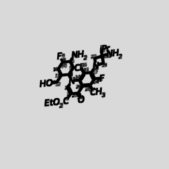 CCOC(=O)c1cn(C2CC(N)[C@H](F)CC2CO)c2c(Cl)c(N3CC(N)(C(C)C)C3)c(F)c(C)c2c1=O